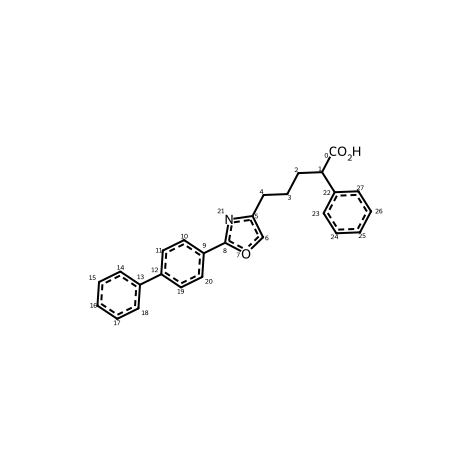 O=C(O)C(CCCc1coc(-c2ccc(-c3ccccc3)cc2)n1)c1ccccc1